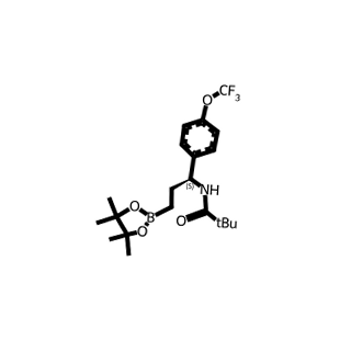 CC(C)(C)C(=O)N[C@@H](CCB1OC(C)(C)C(C)(C)O1)c1ccc(OC(F)(F)F)cc1